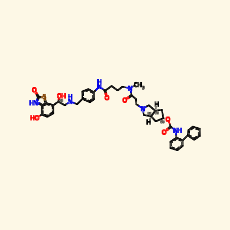 CN(CCCC(=O)Nc1ccc(CNC[C@H](O)c2ccc(O)c3[nH]c(=O)sc23)cc1)C(=O)CCN1C[C@H]2C[C@H](OC(=O)Nc3ccccc3-c3ccccc3)C[C@H]2C1